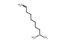 C=CCCCCCC[Si](C)C